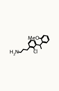 COc1ccccc1C(C)c1cccc(CCCN)c1Cl